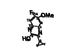 COc1cc2nc(C3CC3)c(O)nc2cc1F